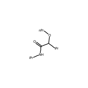 CCCOC(C(=O)NC(C)C)C(C)C